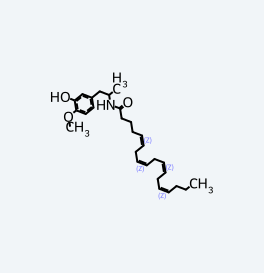 CCC/C=C\C/C=C\C/C=C\C/C=C\CCCC(=O)NC(C)Cc1ccc(OC)c(O)c1